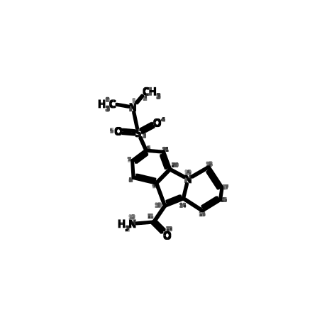 CN(C)S(=O)(=O)c1ccc2c(C(N)=O)c3ccccn3c2c1